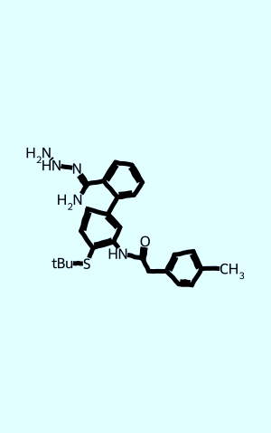 Cc1ccc(CC(=O)Nc2cc(-c3ccccc3/C(N)=N/NN)ccc2SC(C)(C)C)cc1